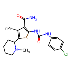 CCCc1c(C2CCCCN2C)sc(NC(=O)Nc2ccc(Cl)cc2)c1C(N)=O